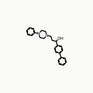 OC(CCN1CCN(c2ccccc2)CC1)c1ccc(-c2ccccc2)cc1